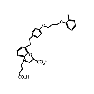 Cc1ccccc1OCCCOc1ccc(CCc2cccc3c2OC(C(=O)O)CN3CCCC(=O)O)cc1